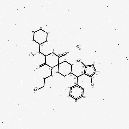 CCCCN1C(=O)[C@@H]([C@H](O)C2CCCCC2)NC(=O)C12CCN(C(c1ccccc1)c1c(C)n[nH]c1Cl)CC2.Cl